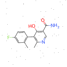 Cc1cc(F)ccc1-c1c(C)ncc(C(N)=O)c1O